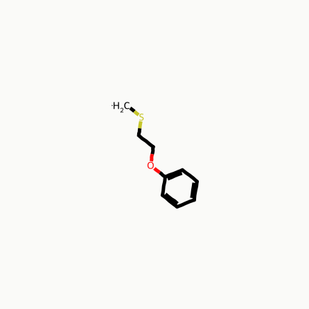 [CH2]SCCOc1ccccc1